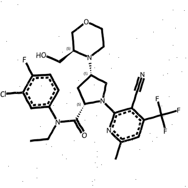 CCN(C(=O)[C@@H]1C[C@H](N2CCOC[C@@H]2CO)CN1c1nc(C)cc(C(F)(F)F)c1C#N)c1ccc(F)c(Cl)c1